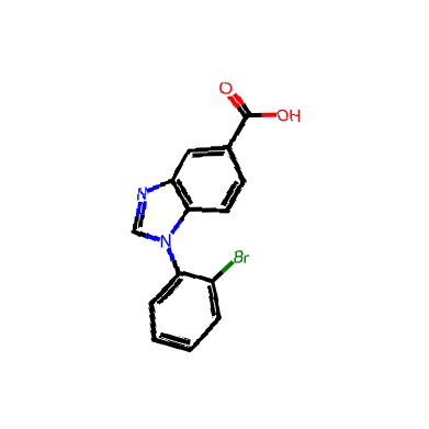 O=C(O)c1ccc2c(c1)ncn2-c1ccccc1Br